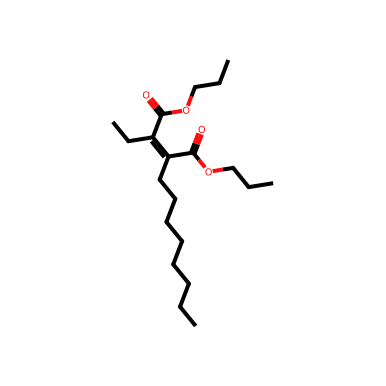 CCCCCCCC/C(C(=O)OCCC)=C(\CC)C(=O)OCCC